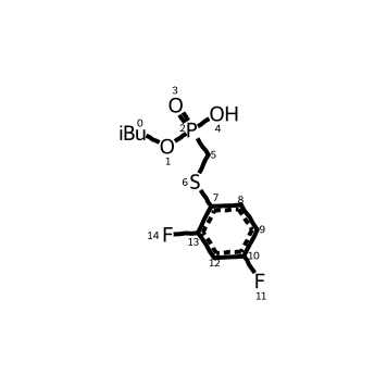 CCC(C)OP(=O)(O)CSc1ccc(F)cc1F